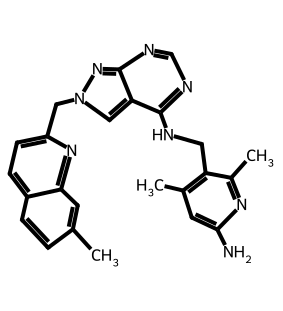 Cc1ccc2ccc(Cn3cc4c(NCc5c(C)cc(N)nc5C)ncnc4n3)nc2c1